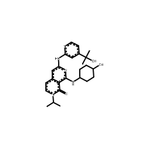 CC(C)n1ccc2cc(Nc3cc(C(C)(C)O)ccn3)nc(NC3CCC(O)CC3)c2c1=O